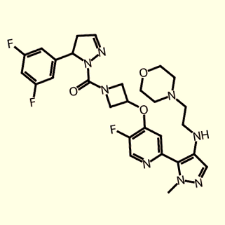 Cn1ncc(NCCN2CCOCC2)c1-c1cc(OC2CN(C(=O)N3N=CCC3c3cc(F)cc(F)c3)C2)c(F)cn1